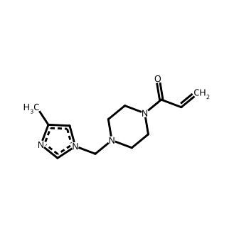 C=CC(=O)N1CCN(Cn2cnc(C)c2)CC1